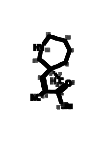 CC(C)(C)C(=O)/C(C#N)=C\[C@]1(C)CCCCNC1